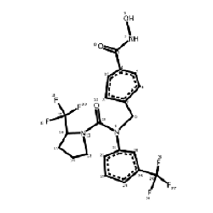 O=C(NO)c1ccc(CN(C(=O)N2CCCC2C(F)(F)F)c2cccc(C(F)(F)F)c2)cc1